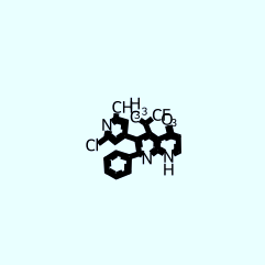 Cc1cc(-c2c(-c3ccccc3)nc3[nH]ccc(=O)c3c2C(C)C(F)(F)F)cc(Cl)n1